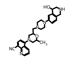 CC1CN(c2ccc(C#N)c3ncccc23)CC(CN2CCN(c3ccc4c(c3)C(O)CNC4)CC2)O1